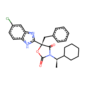 C[C@H](C1CCCCC1)N1C(=O)O[C@](Cc2ccccc2)(c2nc3cc(Cl)ccc3[nH]2)C1=O